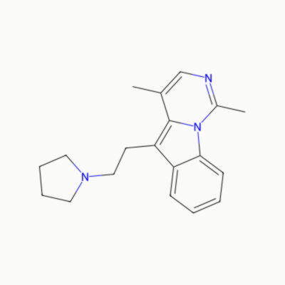 Cc1cnc(C)n2c1c(CCN1CCCC1)c1ccccc12